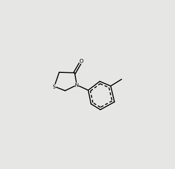 Cc1cccc(N2CSCC2=O)c1